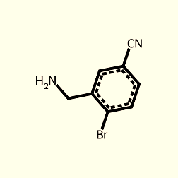 N#Cc1ccc(Br)c(CN)c1